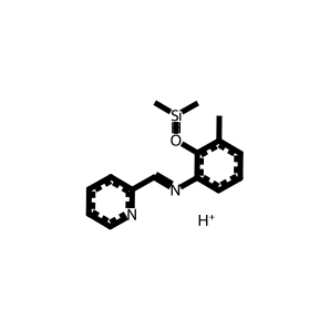 Cc1cccc(N=Cc2ccccn2)c1O[SiH](C)C.[H+]